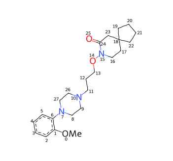 COc1ccccc1N1CCN(CCCON2CCC3(CCCC3)CC2=O)CC1